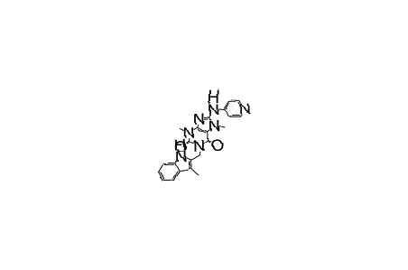 Cc1c(Cn2c(=O)c3c(nc(Nc4ccncc4)n3C)n(C)c2=O)[nH]c2ccccc12